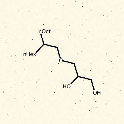 CCCCCCCCC(CCCCCC)COCC(O)CO